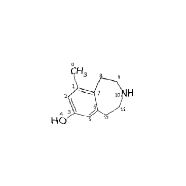 Cc1cc(O)cc2c1CCNCC2